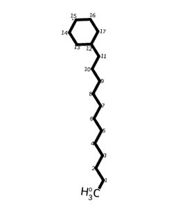 CCCCCCCCCCCCC1CC[CH]CC1